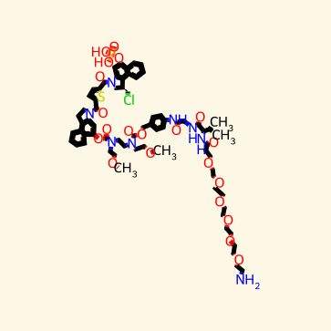 COCCN(CCN(CCOC)C(=O)Oc1cc2c(c3ccccc13)CCN2C(=O)c1ccc(C(=O)N2C[C@@H](CCl)c3c2cc(OP(=O)(O)O)c2ccccc32)s1)C(=O)OCc1ccc(NC(=O)CNC(=O)C(NC(=O)CCOCCOCCOCCOCCOCCOCCN)C(C)C)cc1